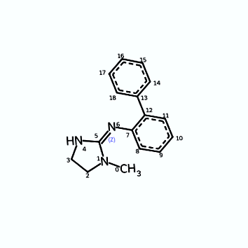 CN1CCN/C1=N/c1ccccc1-c1ccccc1